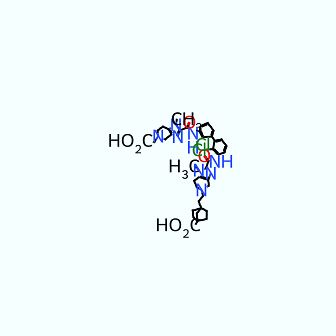 Cn1c(C(=O)Nc2cccc(-c3cccc(NC(=O)c4nc5c(n4C)CCN(CC(=O)O)C5)c3Cl)c2Cl)nc2c1CCN(CCC13CCC(C(=O)O)(CC1)C3)C2